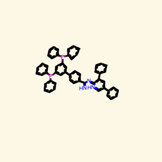 N=C(/N=c1\[nH]cc(-c2ccccc2)cc1-c1ccccc1)c1ccc(-c2cc(P(c3ccccc3)c3ccccc3)cc(P(c3ccccc3)c3ccccc3)c2)cc1